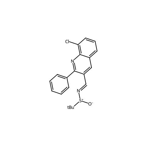 CC(C)(C)[S+]([O-])/N=C/c1cc2cccc(Cl)c2nc1-c1ccccc1